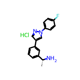 C[C@@H](N)c1cccc(-c2cnn(-c3ccc(F)cc3)c2)c1.Cl